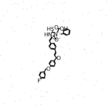 O=C(/C=C/c1ccc(/C=C2/N[C@H](S)N([C@@H](Cc3ccccc3)C(=O)O)[S+]2[O-])cc1)c1ccc(OCc2ccc(F)cc2)cc1